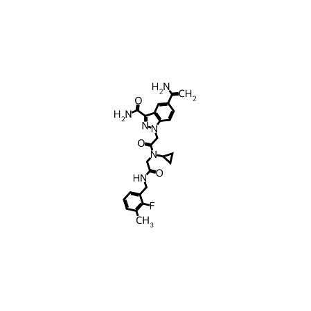 C=C(N)c1ccc2c(c1)c(C(N)=O)nn2CC(=O)N(CC(=O)NCc1cccc(C)c1F)C1CC1